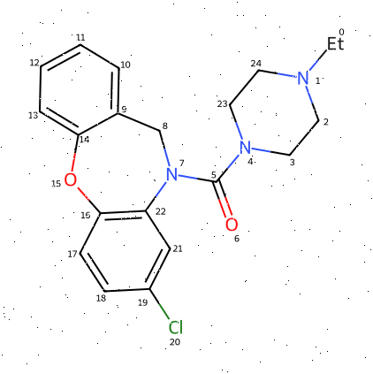 CCN1CCN(C(=O)N2Cc3ccccc3Oc3ccc(Cl)cc32)CC1